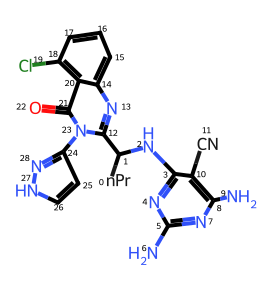 CCCC(Nc1nc(N)nc(N)c1C#N)c1nc2cccc(Cl)c2c(=O)n1-c1cc[nH]n1